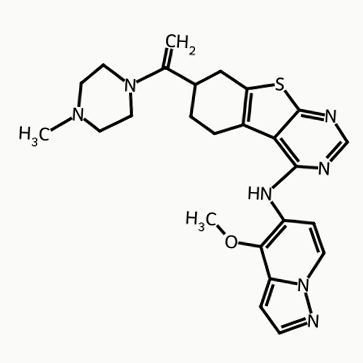 C=C(C1CCc2c(sc3ncnc(Nc4ccn5nccc5c4OC)c23)C1)N1CCN(C)CC1